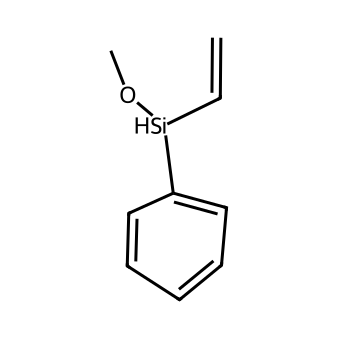 C=C[SiH](OC)c1ccccc1